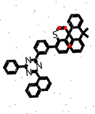 CC1(C)c2ccccc2C2(c3ccccc3Sc3c(-c4cccc(-c5nc(-c6ccccc6)nc(-c6cccc7ccccc67)n5)c4)cccc32)c2ccccc21